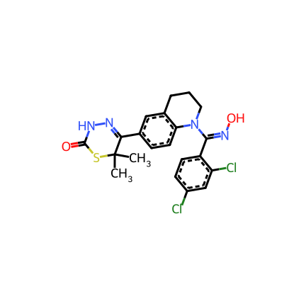 CC1(C)SC(=O)NN=C1c1ccc2c(c1)CCCN2/C(=N\O)c1ccc(Cl)cc1Cl